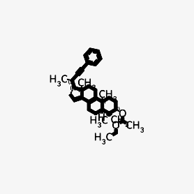 CCOC(C)O[C@H]1CC[C@]2(C)C3=C(CC[C@H]2C1(C)C)C1=CC[C@H]([C@H](C)C#Cc2ccccc2)[C@@]1(C)CC3